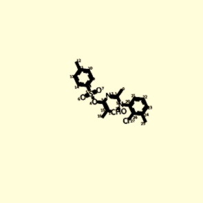 C/C(=N/C(OS(=O)(=O)c1ccc(C)cc1)=C(/C)C=O)N(C)c1cccc(C)c1Cl